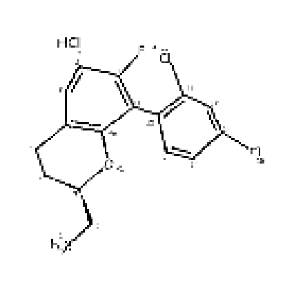 Cl.NC[C@H]1CCc2ccc(F)c(-c3ccc(Cl)cc3Cl)c2O1